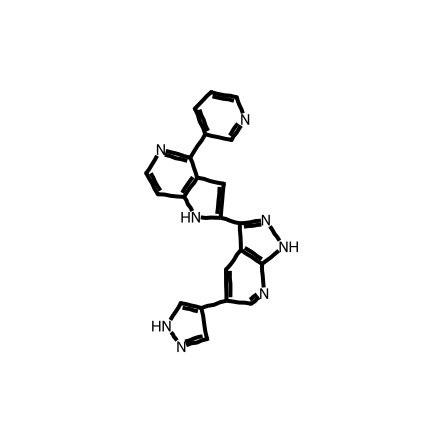 c1cncc(-c2nccc3[nH]c(-c4n[nH]c5ncc(-c6cn[nH]c6)cc45)cc23)c1